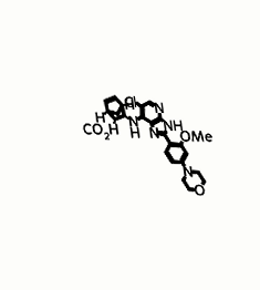 COc1cc(N2CCOCC2)ccc1-c1nc2c(N[C@H]3[C@@H](C(=O)O)[C@@H]4C=C[C@H]3C4)c(Cl)cnc2[nH]1